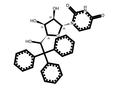 O=c1ccn([C@@H]2O[C@H](C(O)C(c3ccccc3)(c3ccccc3)c3ccccc3)[C@@H](O)[C@H]2O)c(=O)[nH]1